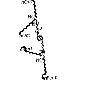 CCCCC/C=C\C/C=C\CCCCCCC(O)CN(CCCSSCCN1CCN(CCOC(=O)CCCCN(CC(O)CCCCCC/C=C\CCCCCCCC)CC(O)CCCCCC/C=C\CCCCCCCC)CC1)CC(O)CCCCCC/C=C\C/C=C\CCCCC